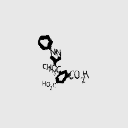 Cc1cc(C(=O)O)cc(C(=O)O)c1.O=Cc1cnn(-c2ccccc2)c1